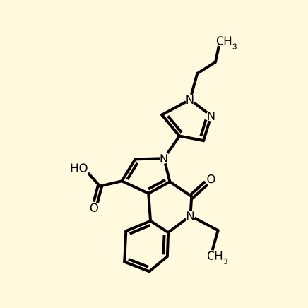 CCCn1cc(-n2cc(C(=O)O)c3c4ccccc4n(CC)c(=O)c32)cn1